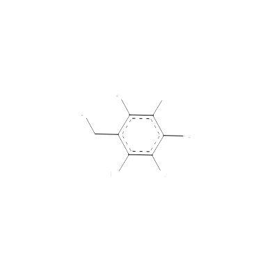 Cc1c(Br)c(Br)c(Br)c(CBr)c1Br